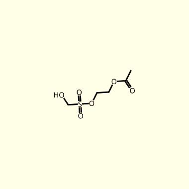 CC(=O)OCCOS(=O)(=O)CO